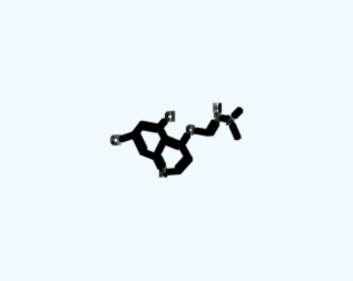 CN(C)[SH]=COc1ccnc2cc(Cl)cc(Cl)c12